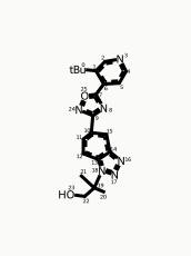 CC(C)(C)c1cnccc1-c1nc(-c2ccc3c(c2)nnn3C(C)(C)CO)no1